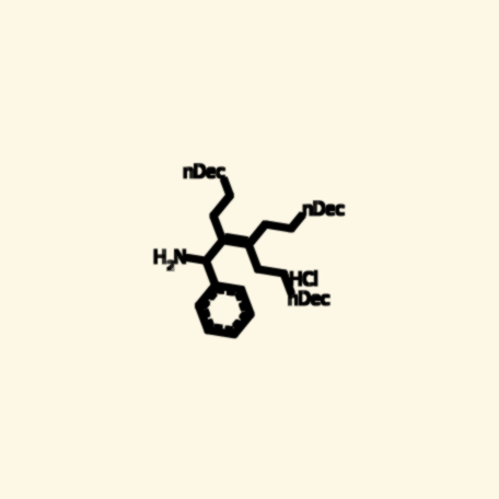 CCCCCCCCCCCCC(CCCCCCCCCCCC)=C(CCCCCCCCCCCC)C(N)c1ccccc1.Cl